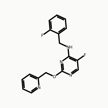 Fc1ccccc1CNc1nc(OCc2ccccn2)ncc1F